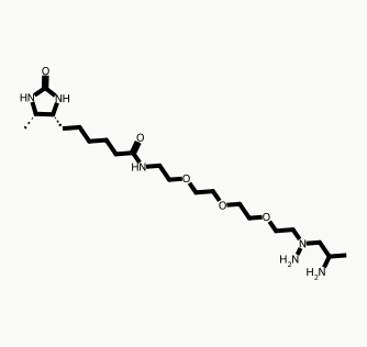 CC(N)CN(N)CCOCCOCCOCCNC(=O)CCCCC[C@H]1NC(=O)N[C@H]1C